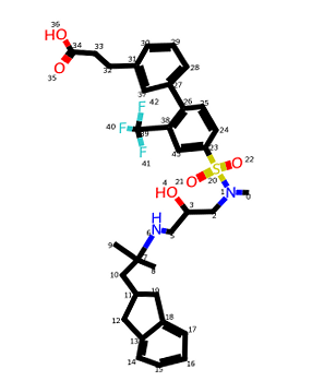 CN(CC(O)CNC(C)(C)CC1Cc2ccccc2C1)S(=O)(=O)c1ccc(-c2cccc(CCC(=O)O)c2)c(C(F)(F)F)c1